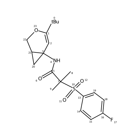 CC(C)(C)C1=CC2(NC(=O)C(C)(C)S(=O)(=O)c3ccc(F)cc3)CC2CO1